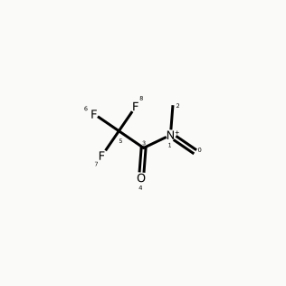 C=[N+](C)C(=O)C(F)(F)F